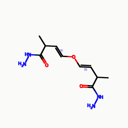 CC(/C=C/O/C=C/C(C)C(=O)NN)C(=O)NN